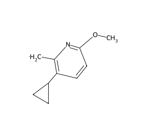 [CH2]c1nc(OC)ccc1C1CC1